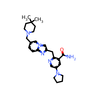 CC1(C)CCN(Cc2ccc3nc(Cc4ncc(N5CCCC5)cc4C(N)=O)cn3c2)CC1